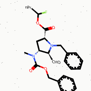 CCCC(F)OC(=O)[C@H]1C[C@@H](N(C)C(=O)OCc2ccccc2)[C@H](C=O)N1Cc1ccccc1